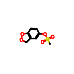 CS(=O)(=O)Oc1ccc2c(c1)COO2